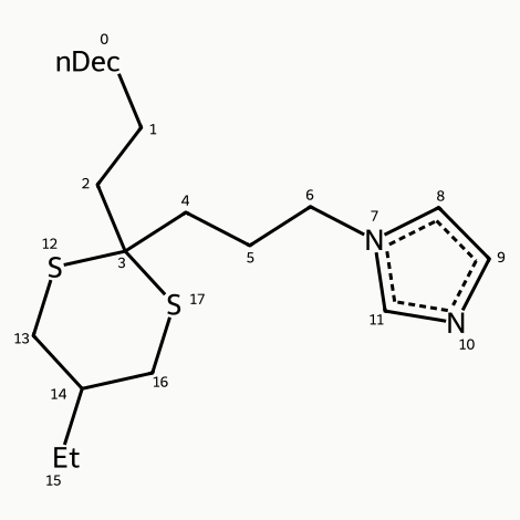 CCCCCCCCCCCCC1(CCCn2ccnc2)SCC(CC)CS1